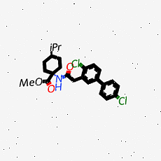 COC(=O)[C@]1(NC(=O)Cc2cc(-c3ccc(Cl)cc3)ccc2Cl)CC[C@H](C(C)C)CC1